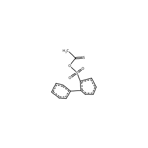 CC(=S)OS(=O)(=O)c1ccccc1-c1ccccc1